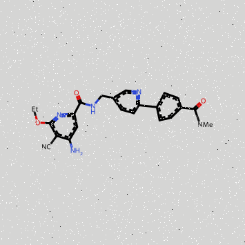 CCOc1nc(C(=O)NCc2ccc(-c3ccc(C(=O)NC)cc3)nc2)cc(N)c1C#N